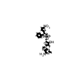 Cc1nc(N)c2ncn([C@@H]3O[C@H](COP(=O)(NCc4ccccc4)OCc4ccc([N+](=O)[O-])s4)C(O)[C@H]3F)c2n1